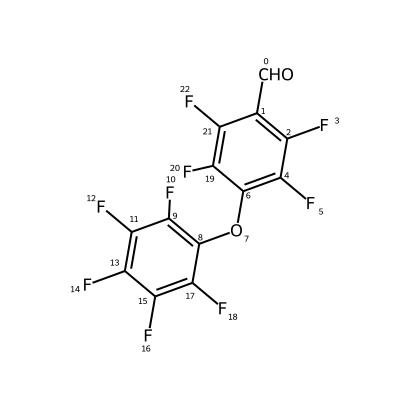 O=Cc1c(F)c(F)c(Oc2c(F)c(F)c(F)c(F)c2F)c(F)c1F